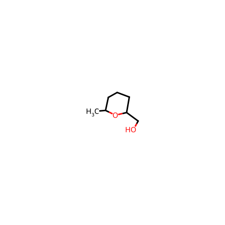 CC1CCCC(CO)O1